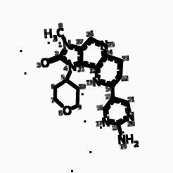 Cn1c(=O)n(C2CCOCC2)c2c3nc(-c4cnc(N)nc4)ccc3ncc21